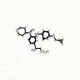 CC[C@H](CC(=O)O)c1ccc(N(CC)C2CCOCC2)c(Nc2ccc(OCC3CC3)cc2)c1